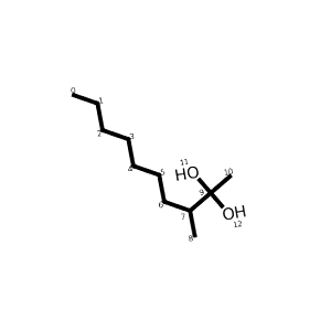 CCCCCCCC(C)C(C)(O)O